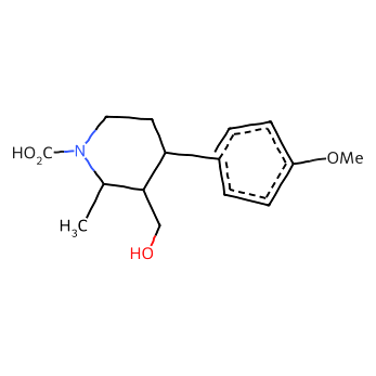 COc1ccc(C2CCN(C(=O)O)C(C)C2CO)cc1